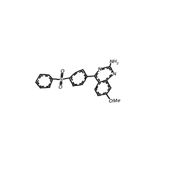 COc1ccc2c(-c3ccc(S(=O)(=O)c4ccccc4)cc3)nc(N)nc2c1